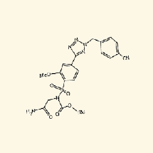 COc1cc(-c2nnn(Cc3ccc(C#N)cc3)n2)ccc1S(=O)(=O)N(CC(N)=O)C(=O)OC(C)(C)C